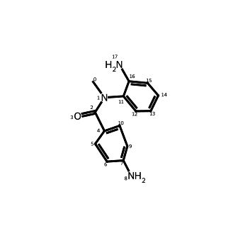 CN(C(=O)c1ccc(N)cc1)c1ccccc1N